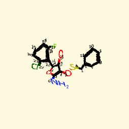 NC1=C(OSCc2ccccc2)C(=O)C(c2c(F)cccc2Cl)O1